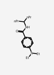 CCCC(CCC)NC(=O)c1ccc(N(CC)CC)cc1